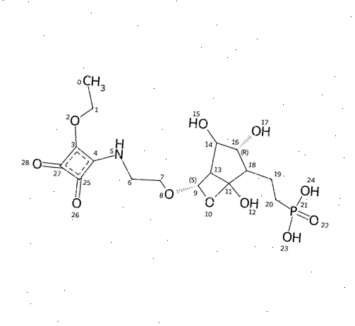 CCOc1c(NCCO[C@H]2OC3(O)C2C(O)[C@H](O)C3CCP(=O)(O)O)c(=O)c1=O